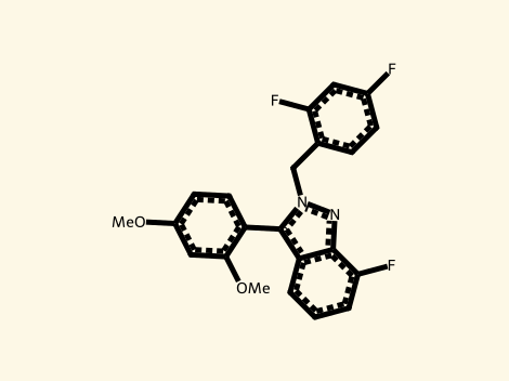 COc1ccc(-c2c3cccc(F)c3nn2Cc2ccc(F)cc2F)c(OC)c1